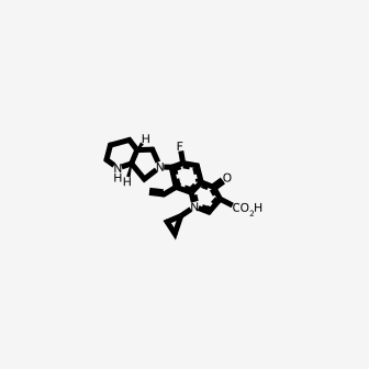 C=Cc1c(N2C[C@H]3CCCN[C@H]3C2)c(F)cc2c(=O)c(C(=O)O)cn(C3CC3)c12